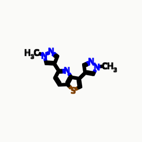 Cn1cc(-c2ccc3scc(-c4cnn(C)c4)c3n2)cn1